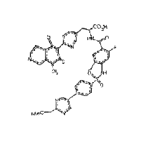 COCc1ncc(-c2ccc(S(=O)(=O)Nc3cc(F)c(C(=O)NC(Cc4ccc(-n5c(=O)c6ccncc6n(C)c5=O)nc4)C(=O)O)cc3F)cc2)cn1